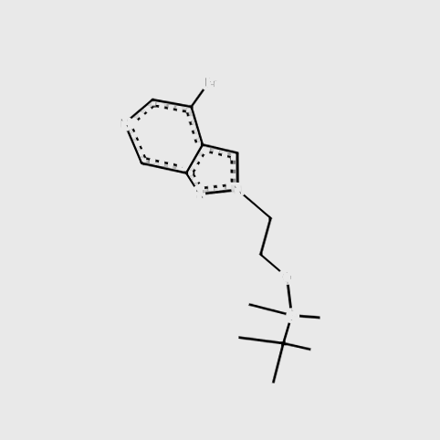 CC(C)(C)[Si](C)(C)OCCn1cc2c(Br)cncc2n1